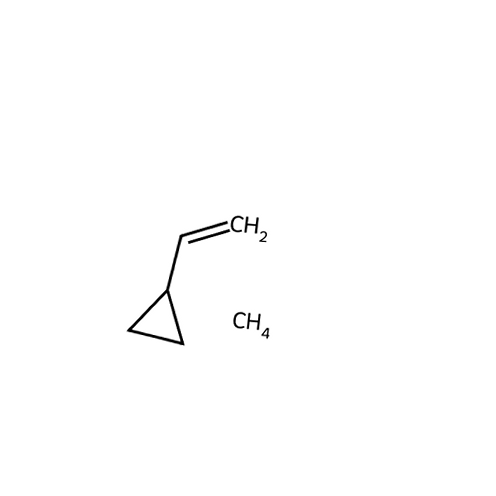 C.C=CC1CC1